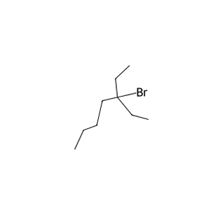 CCCCC(Br)(CC)CC